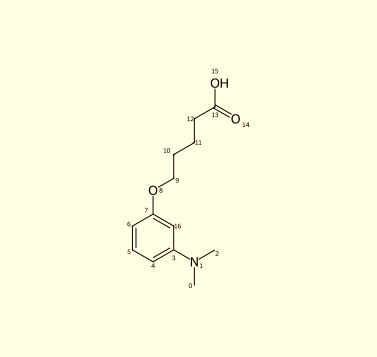 CN(C)c1cccc(OCCCCC(=O)O)c1